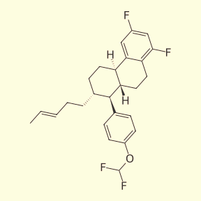 C/C=C/CC[C@@H]1CC[C@H]2c3cc(F)cc(F)c3CC[C@@H]2[C@H]1c1ccc(OC(F)F)cc1